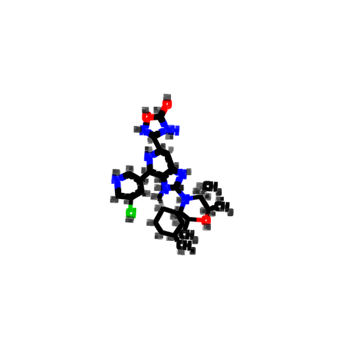 CC1CN(c2nc3cc(-c4noc(=O)[nH]4)nc(-c4cncc(Cl)c4)c3n2C[C@H]2CC[C@H](C)CC2)[C@H](C)[C@@H](C)O1